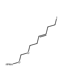 CCCCCCOCOCC/C=C/CCI